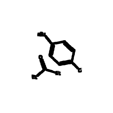 CCC(=O)CC.CCCCc1ccc(Cl)cc1